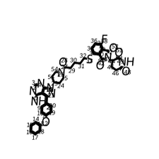 Nc1ncnc2c1c(-c1ccc(Oc3ccccc3)cc1)nn2C1CCN(C(=O)CCCCSc2ccc(F)c3c2C(=O)N(C2CCC(=O)NC2=O)C3=O)CC1